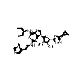 CCC(CC)Nc1nc(NCCc2cncn2C)nc2c1ncn2C1O[C@H](c2nc(C3CC3)no2)[C@@H](O)[C@H]1O